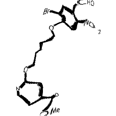 COC(=O)c1ccnc(OCCCCCOc2cc([N+](=O)[O-])c(C=O)cc2Br)c1